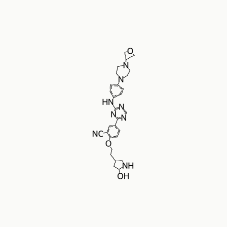 N#Cc1cc(-c2ncnc(Nc3ccc(N4CCN(C5COC5)CC4)cc3)n2)ccc1OCCC1CNC(O)C1